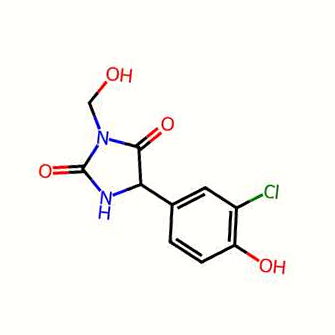 O=C1NC(c2ccc(O)c(Cl)c2)C(=O)N1CO